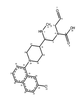 CNC(CN(CC=O)C(=O)O)C1CCN(c2nccc3ccc(Cl)cc23)CC1